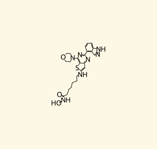 O=C(CCCCCCNc1cc2nc(-c3cccc4[nH]ncc34)nc(N3CCOCC3)c2s1)NO